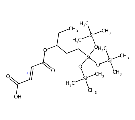 CCC(CC[Si](O[Si](C)(C)C)(O[Si](C)(C)C)O[Si](C)(C)C)OC(=O)/C=C/C(=O)O